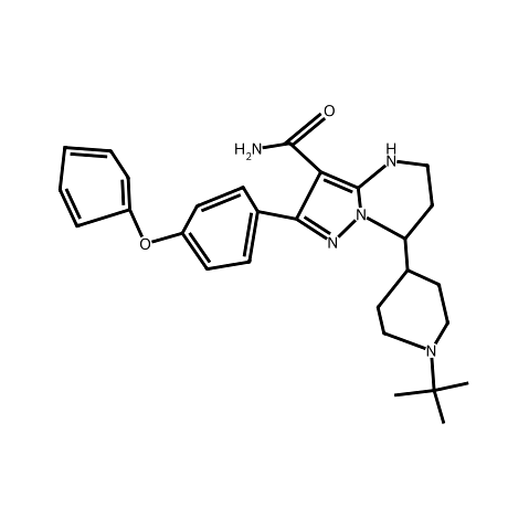 CC(C)(C)N1CCC(C2CCNc3c(C(N)=O)c(-c4ccc(Oc5ccccc5)cc4)nn32)CC1